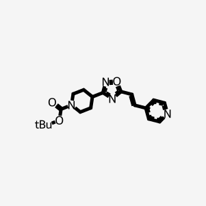 CC(C)(C)OC(=O)N1CCC(c2noc(C=Cc3ccncc3)n2)CC1